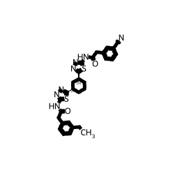 CCc1cccc(CC(=O)Nc2nnc([C@H]3CCC[C@H](c4nnc(NC(=O)Cc5cccc(C#N)c5)s4)C3)s2)c1